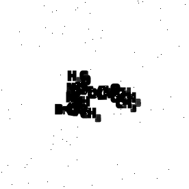 COc1cc2ncnc(Nc3cc(Br)ccc3OC)c2cc1COC1CCN(C(=O)OC(C)(C)C)CC1